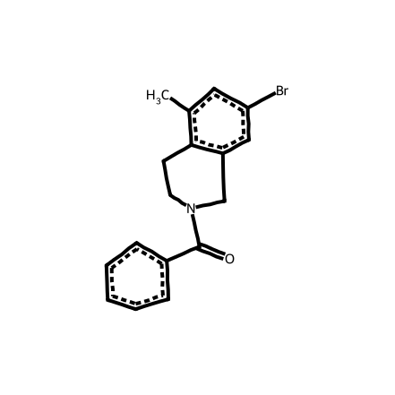 Cc1cc(Br)cc2c1CCN(C(=O)c1ccccc1)C2